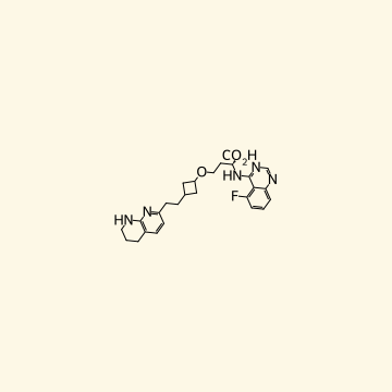 O=C(O)[C@H](CCOC1CC(CCc2ccc3c(n2)NCCC3)C1)Nc1ncnc2cccc(F)c12